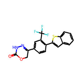 O=C1NN=C(c2ccc(-c3cc4ccccc4s3)c(C(F)(F)F)c2)CO1